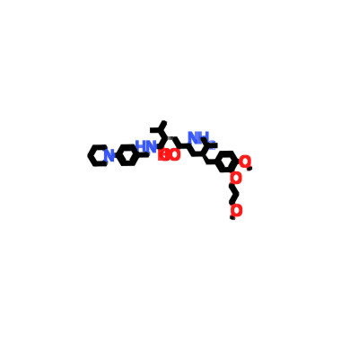 COCCCOc1cc(C[C@@H](C[C@H](N)[C@@H](O)C[C@H](C(=O)NCc2ccc(N3CCCCC3)cc2)C(C)C)C(C)C)ccc1OC